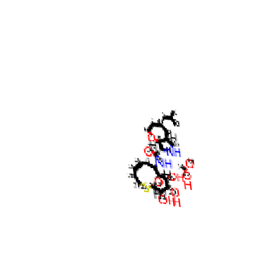 CC(C)C[C@@H]1CCO[C@@H]2[C@H](CN[C@@H]2C(=O)N[C@@H]2C/C=C\CCS[C@H]3O[C@H]2[C@H](O)[C@H](O)[C@H]3O)C1.O=CO